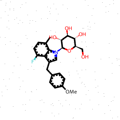 COc1ccc(Cc2cn([C@@H]3O[C@H](CO)[C@@H](O)[C@H](O)[C@H]3O)c3c(C)ccc(F)c23)cc1